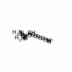 CN(CCCCn1nc(-c2ccc3oc(N)nc3c2)c2c(N)ncnc21)C(=O)CCOCCOCCOCCOCCOCCOCCN=[N+]=[N-]